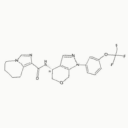 O=C(N[C@H]1COCc2c1cnn2-c1cccc(OC(F)(F)F)c1)c1ncn2c1CCCC2